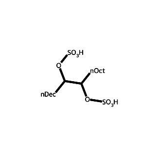 CCCCCCCCCCC(OS(=O)(=O)O)C(CCCCCCCC)OS(=O)(=O)O